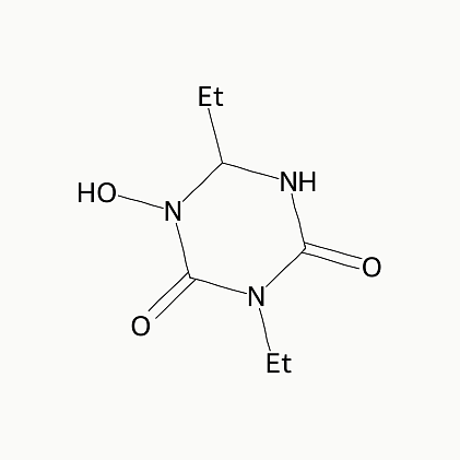 CCC1NC(=O)N(CC)C(=O)N1O